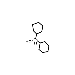 [OH][SnH]([CH]1CCCCC1)[CH]1CCCCC1